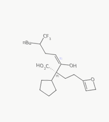 CCCCC(C/C=C(/O)[C@](CCC1=CCO1)(C(=O)O)C1CCCC1)C(F)(F)F